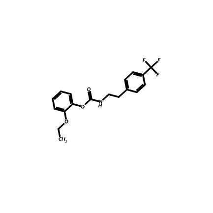 CCOc1ccccc1OC(=O)NCCc1ccc(C(F)(F)F)cc1